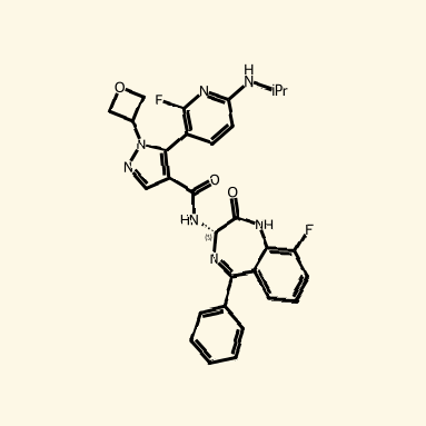 CC(C)Nc1ccc(-c2c(C(=O)N[C@H]3N=C(c4ccccc4)c4cccc(F)c4NC3=O)cnn2C2COC2)c(F)n1